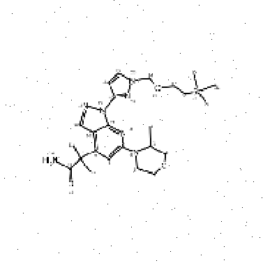 CC1COCCN1c1cc(C(C)(C)C(N)=O)c2cnn(-c3ccn(COCC[Si](C)(C)C)n3)c2n1